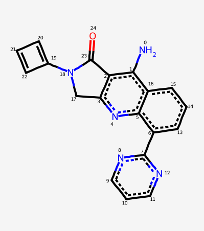 Nc1c2c(nc3c(-c4ncccn4)cccc13)CN(C1=CC=C1)C2=O